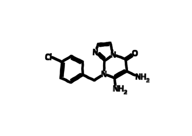 Nc1c(N)n(Cc2ccc(Cl)cc2)c2nccn2c1=O